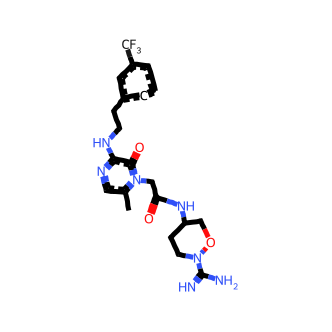 Cc1cnc(NCCc2cccc(C(F)(F)F)c2)c(=O)n1CC(=O)NC1CCN(C(=N)N)OC1